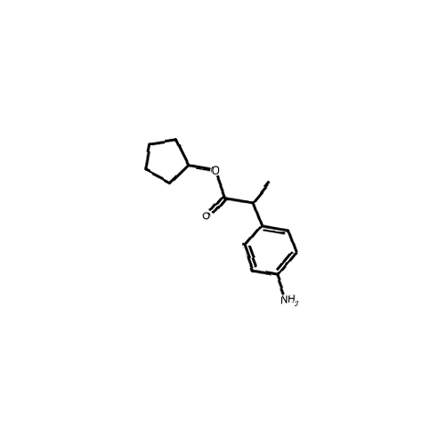 CC(C(=O)OC1CCCC1)c1ccc(N)cc1